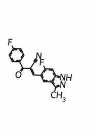 Cc1n[nH]c2cc(F)c(C=C(C#N)C(=O)c3ccc(F)cc3)cc12